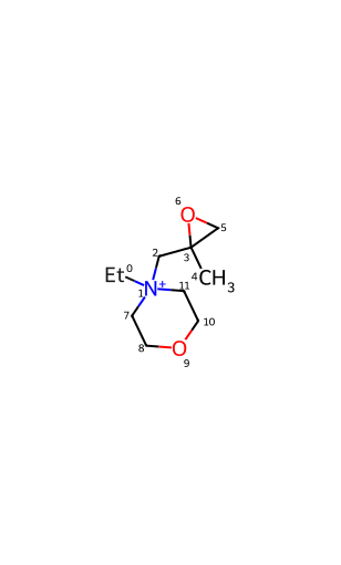 CC[N+]1(CC2(C)CO2)CCOCC1